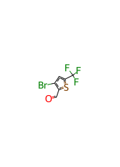 O=Cc1sc(C(F)(F)F)cc1Br